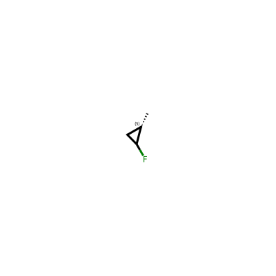 C[C@H]1CC1F